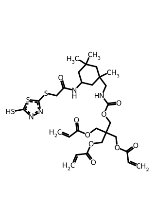 C=CC(=O)OCC(COC(=O)C=C)(COC(=O)C=C)COC(=O)NCC1(C)CC(NC(=O)CSc2nnc(S)s2)CC(C)(C)C1